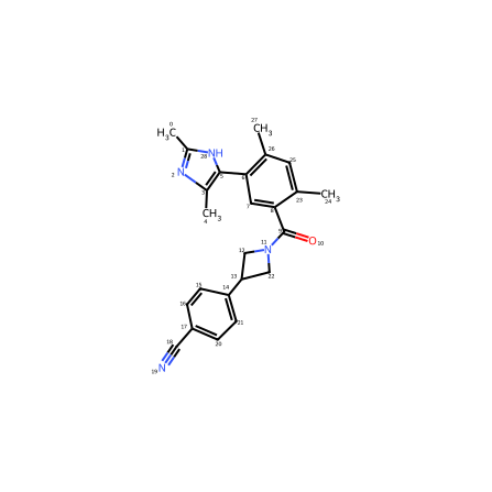 Cc1nc(C)c(-c2cc(C(=O)N3CC(c4ccc(C#N)cc4)C3)c(C)cc2C)[nH]1